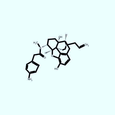 C=CCN1CC[C@]23c4c5ccc(O)c4O[C@H]2[C@H](N(C)C(=O)Cc2ccc(N)cc2)CC[C@@]3(O)[C@H]1C5